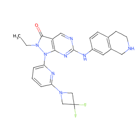 CCn1c(=O)c2cnc(Nc3ccc4c(c3)CNCC4)nc2n1-c1cccc(N2CC(F)(F)C2)n1